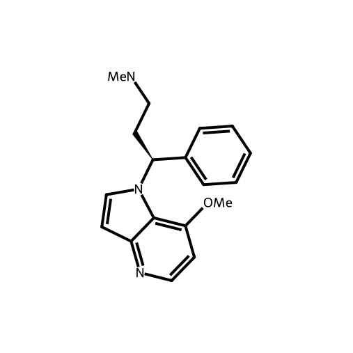 CNCC[C@@H](c1ccccc1)n1ccc2nccc(OC)c21